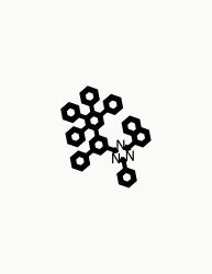 c1ccc(-c2cc(-c3nc(-c4ccccc4)nc(-c4cccc5ccccc45)n3)cc(-c3cc(-c4ccccc4)c(-c4ccccc4)c(-c4ccccc4)c3-c3ccccc3)c2)cc1